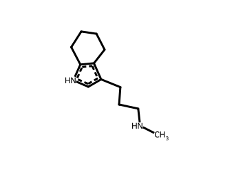 CNCCCc1c[nH]c2c1CCCC2